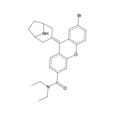 CCN(CC)C(=O)c1ccc2c(c1)Oc1ccc(Br)cc1C2=C1CC2CCC(C1)N2